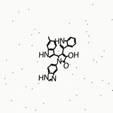 Cc1ccc2c(C3C(c4c[nH]c5ccccc45)=C(O)C(=O)N3c3ccc4[nH]cnc4c3)c[nH]c2c1